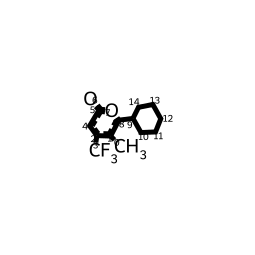 Cc1c(C(F)(F)F)cc(=O)oc1C1CCCCC1